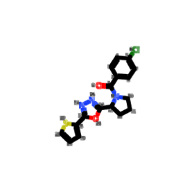 O=C(c1ccc(Cl)cc1)N1CCCC1c1nnc(-c2cccs2)o1